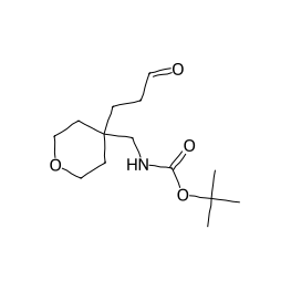 CC(C)(C)OC(=O)NCC1(CCC=O)CCOCC1